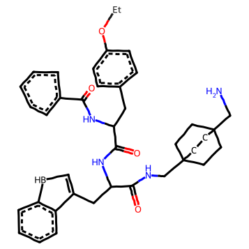 CCOc1ccc(CC(NC(=O)c2ccccc2)C(=O)NC(CC2=CBc3ccccc32)C(=O)NCC23CCC(CN)(CC2)CC3)cc1